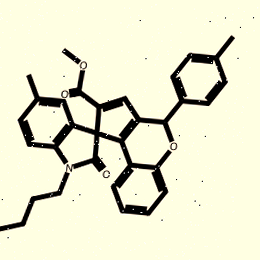 CCCCN1C(=O)C2(C(C(=O)OC)=CC3=C2c2ccccc2OC3c2ccc(C)cc2)c2cc(C)ccc21